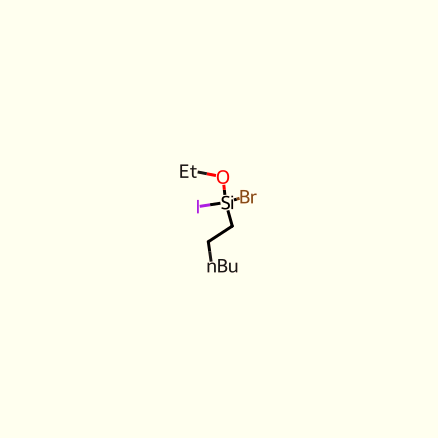 CCCCCC[Si](Br)(I)OCC